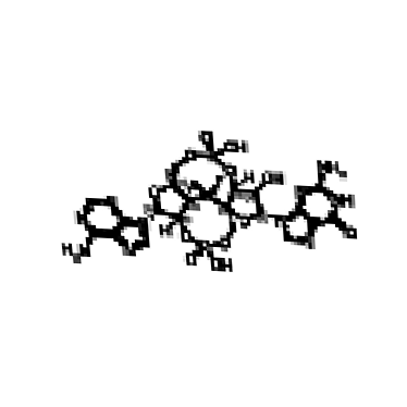 Nc1nc2c(ncn2[C@@H]2O[C@]34COP(=O)(O)O[C@H]5[C@H](n6cnc7c(N)ncnc76)O[C@H](COP(=O)(O)O[C@H]3[C@H]2O)[C@]52CC24F)c(=O)[nH]1